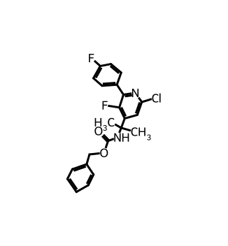 CC(C)(NC(=O)OCc1ccccc1)c1cc(Cl)nc(-c2ccc(F)cc2)c1F